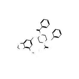 COc1cc(C[C@H]2CN(C(C)=O)[C@@H](Cc3ccccc3)CN2C(=O)c2ccccc2)cc2c1OCO2